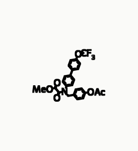 COC(=O)C(=O)N(Cc1ccc(OC(C)=O)cc1)c1ccc(-c2ccc(OC(F)(F)F)cc2)cc1